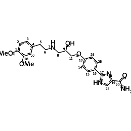 COc1ccc(CCNC[C@@H](O)COc2ccc(-c3nc(C(N)=O)c[nH]3)cc2)cc1OC